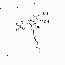 CCCCCCCCCC(CC)C(C)(O)C(=O)[N+](C)(CCO)CCO.COS(=O)(=O)[O-]